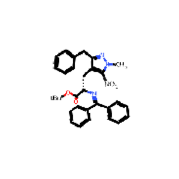 Cn1nc(Cc2ccccc2)c(C[C@H](N=C(c2ccccc2)c2ccccc2)C(=O)OC(C)(C)C)c1[N+](=O)[O-]